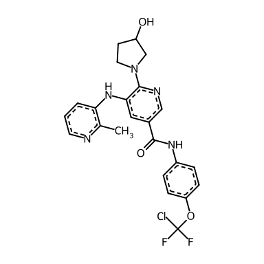 Cc1ncccc1Nc1cc(C(=O)Nc2ccc(OC(F)(F)Cl)cc2)cnc1N1CCC(O)C1